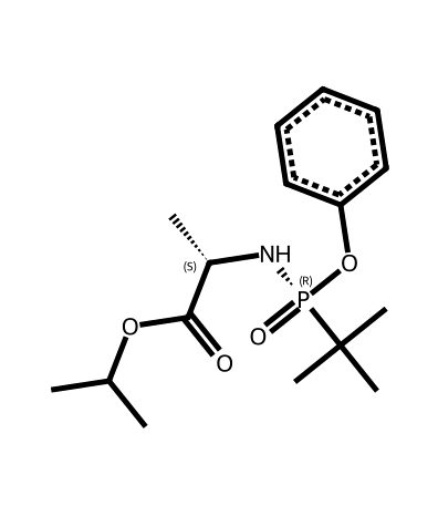 CC(C)OC(=O)[C@H](C)N[P@](=O)(Oc1ccccc1)C(C)(C)C